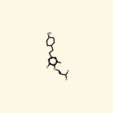 CCCC1CCC(CCc2cc(F)c(O/C=C/C(F)F)c(F)c2)CC1